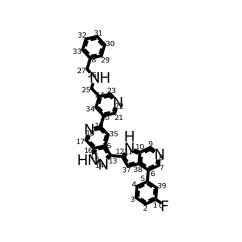 Fc1cccc(-c2cncc3[nH]c(-c4n[nH]c5cnc(-c6cncc(CNCc7ccccc7)c6)cc45)cc23)c1